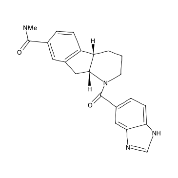 CNC(=O)c1ccc2c(c1)C[C@@H]1[C@H]2CCCN1C(=O)c1ccc2[nH]cnc2c1